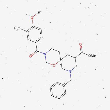 COC(=O)C1CN(Cc2ccccc2)CC2(CCN(C(=O)c3ccc(OC(C)C)c(C)c3)CO2)C1